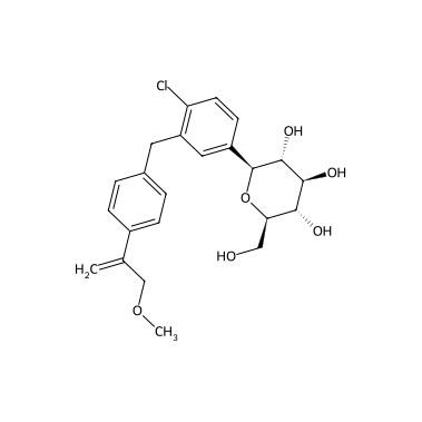 C=C(COC)c1ccc(Cc2cc([C@@H]3O[C@H](CO)[C@@H](O)[C@H](O)[C@H]3O)ccc2Cl)cc1